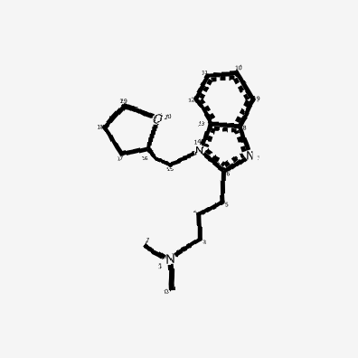 CN(C)CCCc1nc2ccccc2n1CC1CCCO1